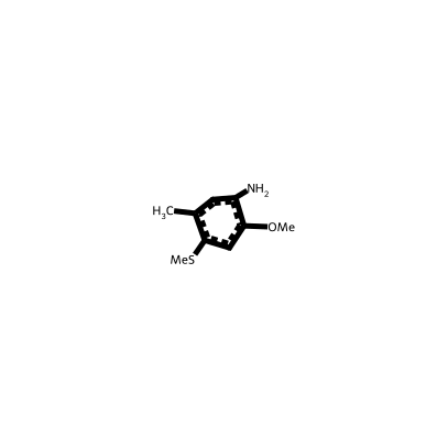 COc1cc(SC)c(C)cc1N